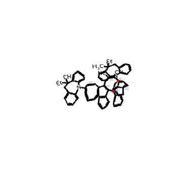 CCC1(C)Cc2ccccc2N(C2=C=CC=C=C(/C3=C(c4ccccc4)/C(c4ccccc4)=C(/C4=C\C=C(\N5c6ccccc6CC(C)(CC)c6ccccc65)C/C=C\C4)C/C(C#N)=C(/C#N)C3)/C=C\2)c2ccccc21